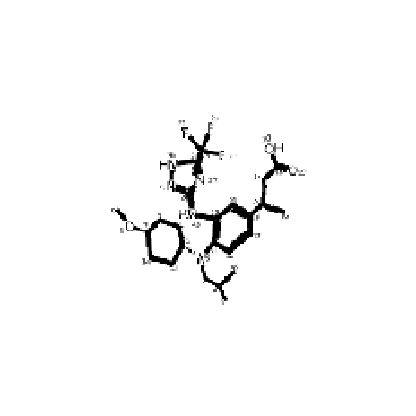 CO[C@H]1CC[C@H](N(CC(C)C)c2ccc(C(C)CC(=O)O)cc2Nc2n[nH]c(C(F)(F)F)n2)CC1